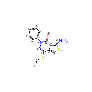 CCSc1nn(-c2ccccc2)c(=O)c2c(N)scc12